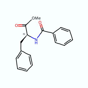 COC(=O)[C@H](Cc1ccccc1)NC(=O)c1ccccc1